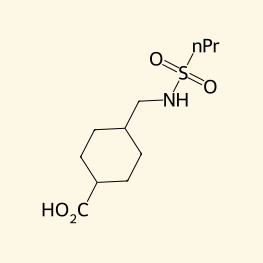 CCCS(=O)(=O)NCC1CCC(C(=O)O)CC1